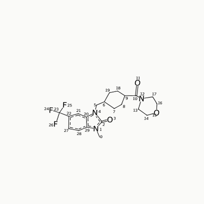 Cn1c(=O)n(CC2CCC(C(=O)N3CCOCC3)CC2)c2cc(C(F)(F)F)ccc21